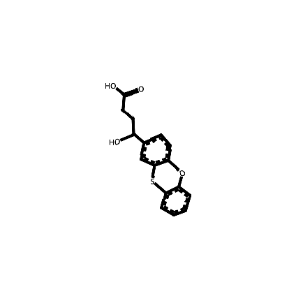 O=C(O)CCC(O)c1ccc2c(c1)Sc1ccccc1O2